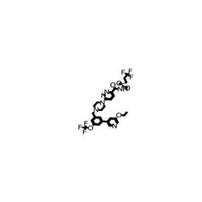 CCOc1cncc(-c2cc(CN3CCN(c4ccc(C(=O)NS(=O)(=O)CCC(F)(F)F)nn4)CC3)cc(OC(F)(F)F)c2)c1